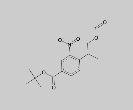 CC(CO[C]=O)c1ccc(C(=O)OC(C)(C)C)cc1[N+](=O)[O-]